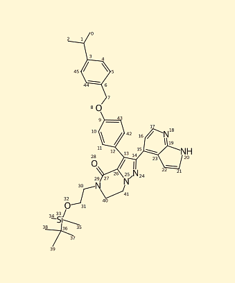 CC(C)c1ccc(COc2ccc(-c3c(-c4ccnc5[nH]ccc45)nn4c3C(=O)N(CCO[Si](C)(C)C(C)(C)C)CC4)cc2)cc1